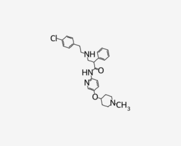 CN1CCC(Oc2ccc(NC(=O)C(CNCCc3ccc(Cl)cc3)c3ccccc3)nc2)CC1